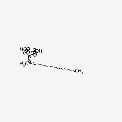 CCCCCCCCCCCCCCCCCCCCCCCCN(C)C=CN(COS(=O)(=O)O)COS(=O)(=O)O